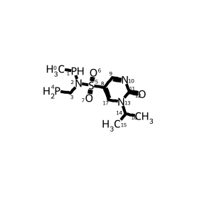 CPN(CP)S(=O)(=O)c1cnc(=O)n(C(C)C)c1